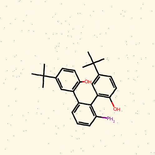 CC(C)(C)c1ccc(O)c(-c2cccc(P)c2-c2cc(C(C)(C)C)ccc2O)c1